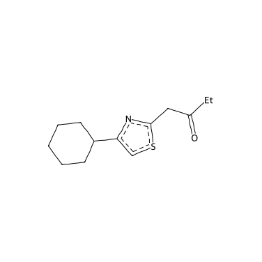 CCC(=O)Cc1nc(C2CCCCC2)cs1